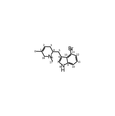 CC1=CCC(Cc2c[nH]c3cccc(Br)c23)N(C)C1